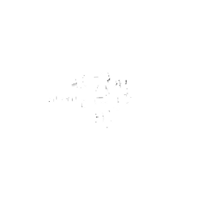 CCCCCC(C)C(C)c1cc(O)c2c(c1)OC(C)(C)c1ccncc1-2.Cl